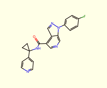 O=C(NC1(c2ccncc2)CC1)c1cncc2c1cnn2-c1ccc(F)cc1